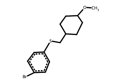 COC1CCC(CSc2ccc(Br)cc2)CC1